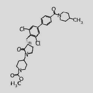 COC(=O)N1CCC(N2CC[C@@H](Cc3c(Cl)cc(-c4ccc(C(=O)N5CCC(C)CC5)cc4)cc3Cl)C2=O)CC1